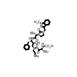 Cn1nc(CN2CCN([C@H](C(=O)N[C@@H](Cc3ccccc3)[C@@H](O)CN(CCC(C)(C)C)NC(=O)[C@@H](NC(=O)O)C(C)(C)C)C(C)(C)C)C2=O)c2ccccc21